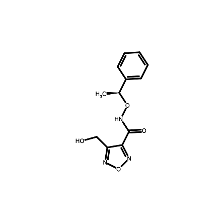 C[C@H](ONC(=O)c1nonc1CO)c1ccccc1